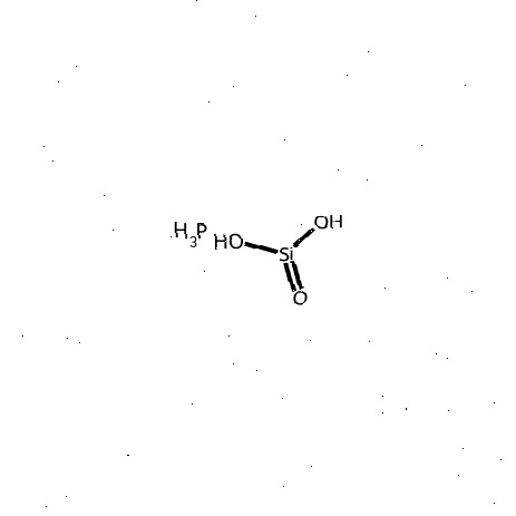 O=[Si](O)O.P